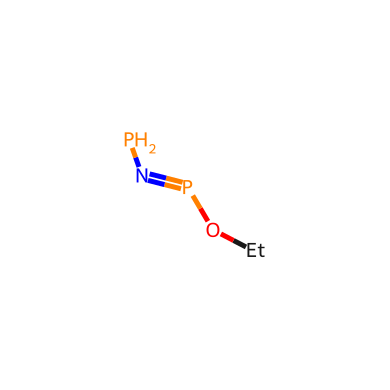 CCOP=NP